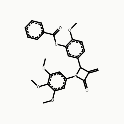 C=C1C(=O)N(c2cc(OC)c(OC)c(OC)c2)C1c1ccc(OC)c(OC(=O)c2ccccc2)c1